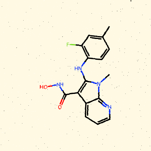 Cc1ccc(Nc2c(C(=O)NO)c3cccnc3n2C)c(F)c1